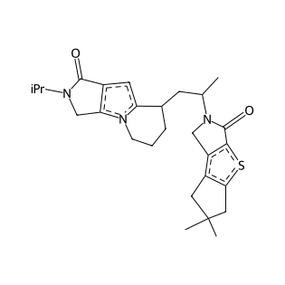 CC(C)N1Cc2c(cc3n2CCCC3CC(C)N2Cc3c(sc4c3CC(C)(C)C4)C2=O)C1=O